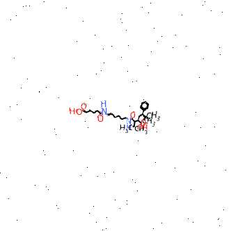 CC(C)C(CC(C(=O)O)C(C(=O)NCCCCCCNC(=O)CCCCC(=O)O)C(C)C)c1ccccc1